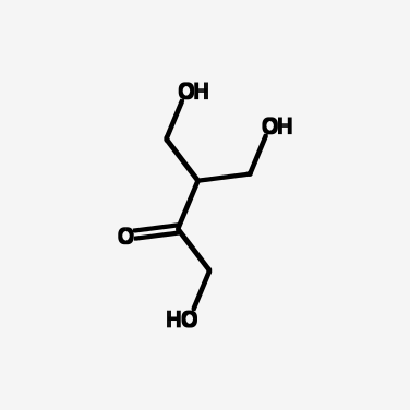 O=C(CO)C(CO)CO